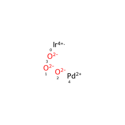 [Ir+4].[O-2].[O-2].[O-2].[Pd+2]